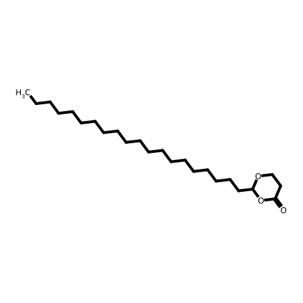 CCCCCCCCCCCCCCCCCCCCC1OCCC(=O)O1